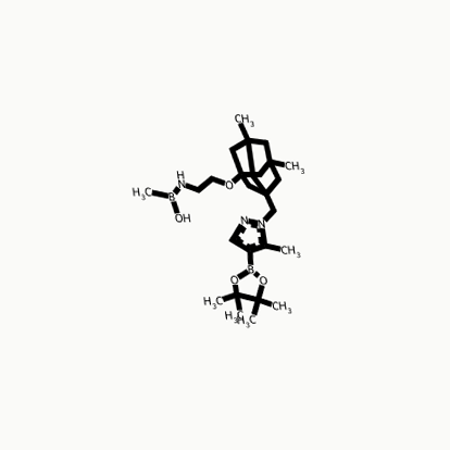 CB(O)NCCOC12CC3(C)CC(C)(CC(Cn4ncc(B5OC(C)(C)C(C)(C)O5)c4C)(C3)C1)C2